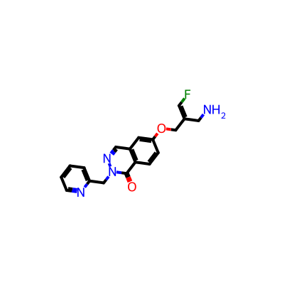 NCC(=CF)COc1ccc2c(=O)n(Cc3ccccn3)ncc2c1